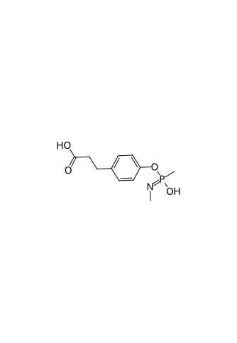 CN=P(C)(O)Oc1ccc(CCC(=O)O)cc1